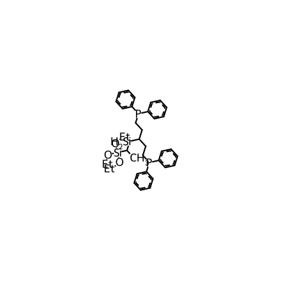 CCO[Si](OCC)(OCC)C(C)[SiH2]C(CCP(c1ccccc1)c1ccccc1)CCP(c1ccccc1)c1ccccc1